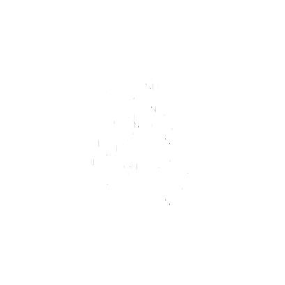 N#Cc1ccc(C(=O)N2CCC3(N=C(N)c4ccccc4N3)C(F)C2)cc1.O=C(O)C(F)(F)F